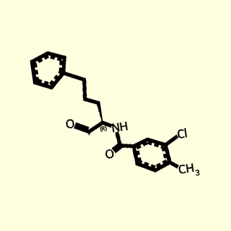 Cc1ccc(C(=O)N[C@@H]([C]=O)CCCc2ccccc2)cc1Cl